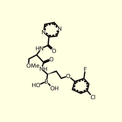 COCC(NC(=O)c1cnccn1)C(=O)N[C@@H](CCOc1ccc(Cl)cc1F)B(O)O